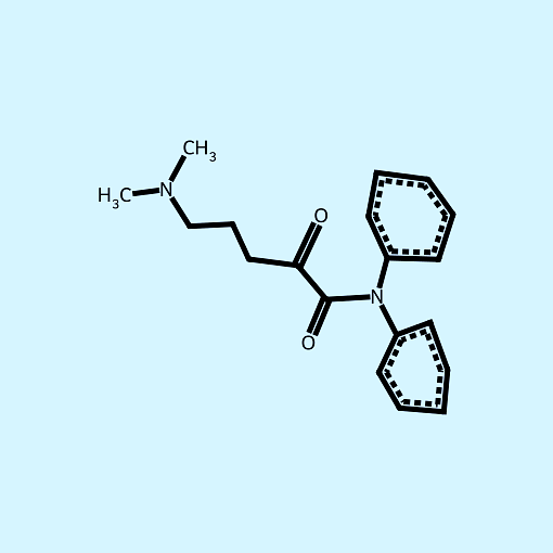 CN(C)CCCC(=O)C(=O)N(c1ccccc1)c1ccccc1